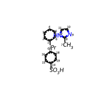 CC(C)c1ccccc1.Cc1ncc[nH]1.O=S(=O)(O)c1ccccc1